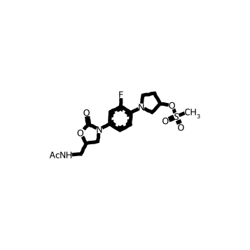 CC(=O)NCC1CN(c2ccc(N3CCC(OS(C)(=O)=O)C3)c(F)c2)C(=O)O1